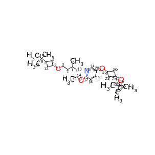 CC(CCOC1CC(C(C)(C)C)C1)CC(C)Oc1ccc(OC2CC(OC(C)(C)C)C2)cn1